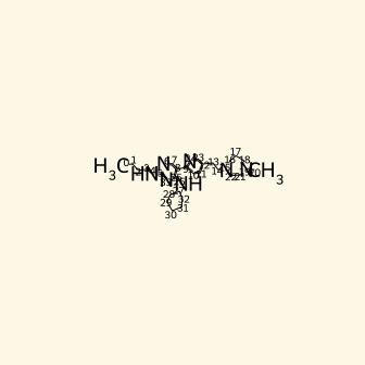 CCCCNc1ncc(-c2ccc(CCN3CCCN(C)CC3)cn2)c(NC2CCCCC2)n1